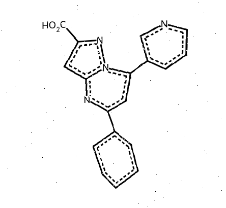 O=C(O)c1cc2nc(-c3ccccc3)cc(-c3cccnc3)n2n1